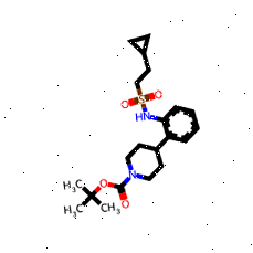 CC(C)(C)OC(=O)N1CCC(c2ccccc2NS(=O)(=O)CCC2CC2)CC1